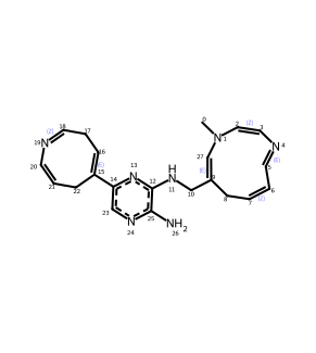 CN1\C=C/N=C/C=C\C/C(CNc2nc(/C3=C/C/C=N\C=CC3)cnc2N)=C\1